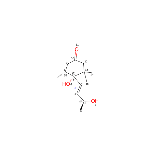 C[C@H](O)/C=C/[C@@]1(O)[C@H](C)CC(=O)CC1(C)C